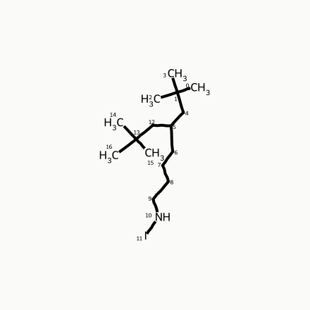 CC(C)(C)CC(CCCCNI)CC(C)(C)C